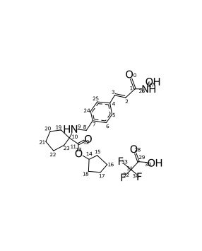 O=C(C=Cc1ccc(CNC2(C(=O)OC3CCCC3)CCCCC2)cc1)NO.O=C(O)C(F)(F)F